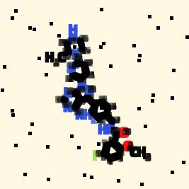 COc1ccc(F)cc1C(=O)NCc1ccc(-c2nn(-c3ccc(N4CCNC[C@@H]4C)nc3)c3ncnc(N)c23)cc1